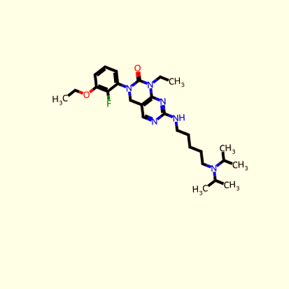 CCOc1cccc(N2Cc3cnc(NCCCCCN(C(C)C)C(C)C)nc3N(CC)C2=O)c1F